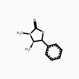 C[C@@H]1C(c2ccccc2)OC(=O)N1C